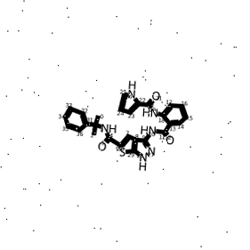 CC(C)(NC(=O)c1cc2c(NC(=O)c3ccccc3NC(=O)c3ccc[nH]3)n[nH]c2s1)c1ccccc1